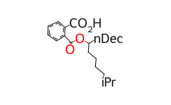 CCCCCCCCCCC(CCCCC(C)C)OC(=O)c1ccccc1C(=O)O